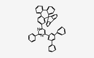 c1ccc(-c2cc(-c3ccccc3)cc(-c3cc(-c4ccc5c(c4)C4(c6ccccc6-c6ccccc6-5)c5ccccc5-c5ccccc54)nc(-c4ccccc4)n3)c2)cc1